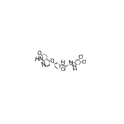 O=C1CCc2c(Oc3ccc4c(c3)[C@@H]3C(O4)C3c3nc4cc(Cl)c(Cl)cc4[nH]3)ccnc2N1